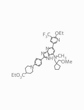 CCOC(=O)C1CCN(c2ccc(-c3nc4nc(-c5cnc(OCC)c(C(F)(F)F)c5)cc(N(C)CC5(COC)CCCC5)c4[nH]3)cc2)CC1